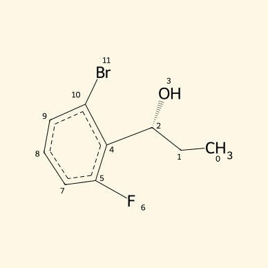 CC[C@@H](O)c1c(F)cccc1Br